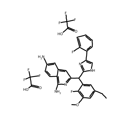 CCc1cc(OC)c(F)c(C(c2cc3cc(N)ccc3c(N)n2)c2nc(-c3ccccc3F)c[nH]2)c1.O=C(O)C(F)(F)F.O=C(O)C(F)(F)F